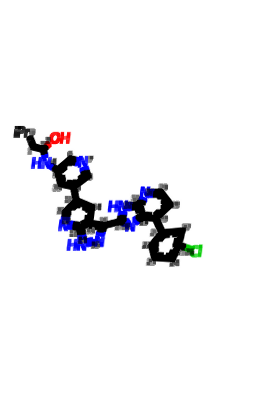 CC(C)CC(O)Nc1cncc(-c2cnc3[nH]nc(-c4nc5c(-c6cccc(Cl)c6)ccnc5[nH]4)c3c2)c1